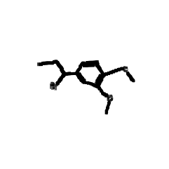 CCC(Br)c1ccc(OC)c(OC)c1